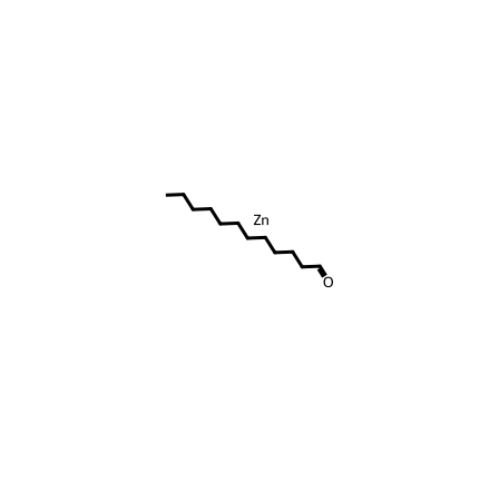 CCCCCCCCCCCC=O.[Zn]